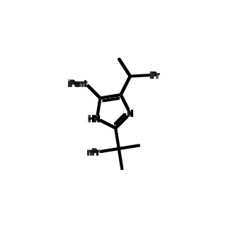 CCCC(C)c1[nH]c(C(C)(C)CCC)nc1C(C)C(C)C